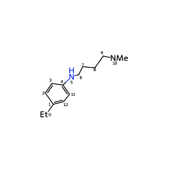 CCc1ccc(NCCCCNC)cc1